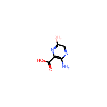 Bc1cnc(N)c(C(=O)O)n1